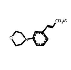 CCOC(=O)C=Cc1cccc(N2CCOCC2)c1